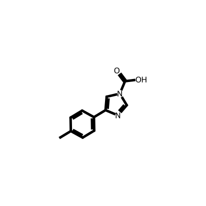 Cc1ccc(-c2cn(C(=O)O)cn2)cc1